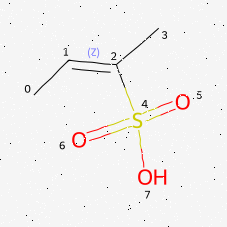 C/C=C(/C)S(=O)(=O)O